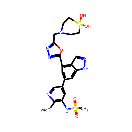 COc1ncc(-c2cc(-c3nnc(CN4CCS(O)(O)CC4)o3)c3cn[nH]c3c2)cc1NS(C)(=O)=O